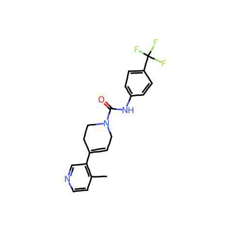 Cc1ccncc1C1=CCN(C(=O)Nc2ccc(C(F)(F)F)cc2)CC1